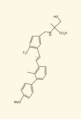 COc1ccc(-c2cccc(/C=C/c3cc(CNC(C)(CO)C(=O)O)ccc3C(F)(F)F)c2C)cc1